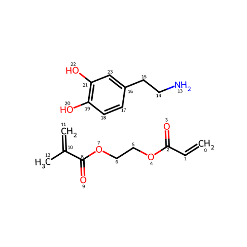 C=CC(=O)OCCOC(=O)C(=C)C.NCCc1ccc(O)c(O)c1